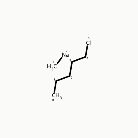 CCCCCCl.[CH3][Na]